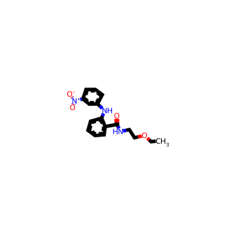 CCOCCNC(=O)c1ccccc1Nc1cccc([N+](=O)[O-])c1